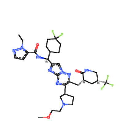 CCn1nccc1C(=O)N[C@H](c1cn2nc(C[C@H]3C[C@@H](C(F)(F)F)CNC3=O)c(C3CCN(CCOC)C3)nc2n1)C1CCC(F)(F)CC1